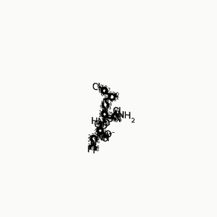 CC1(C)CCC(CN2CCN(c3ccc(C(=O)NS(=O)(=O)c4ccc(N[C@@H]5CCCN(C(CF)CF)C5)c([N+](=O)[O-])c4)c(Oc4cnc(N)c(Cl)c4)c3)CC2)=C(c2ccc(Cl)cc2)C1